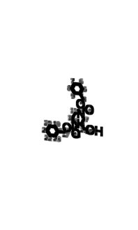 O=C(OCc1ccccc1)N1CCN(C(=O)OCc2ccccc2)C(CO)C1